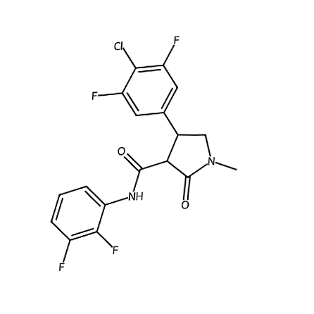 CN1CC(c2cc(F)c(Cl)c(F)c2)C(C(=O)Nc2cccc(F)c2F)C1=O